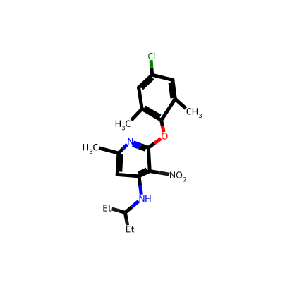 CCC(CC)Nc1cc(C)nc(Oc2c(C)cc(Cl)cc2C)c1[N+](=O)[O-]